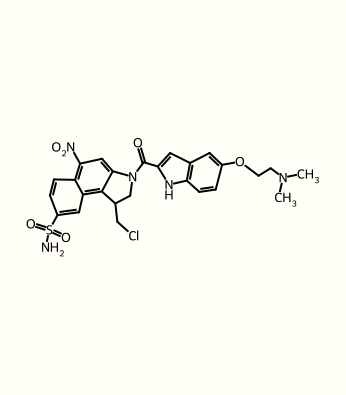 CN(C)CCOc1ccc2[nH]c(C(=O)N3CC(CCl)c4c3cc([N+](=O)[O-])c3ccc(S(N)(=O)=O)cc43)cc2c1